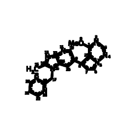 COc1ncnn2ccc(-c3cnc4nc(C)n(Cc5ncccn5)c4c3)c12